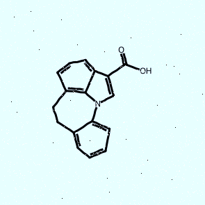 O=C(O)c1cn2c3c(cccc13)CCc1ccccc1-2